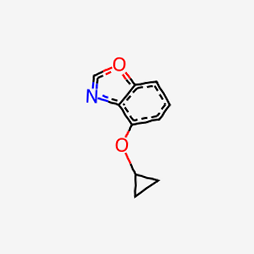 c1cc(OC2CC2)c2ncoc2c1